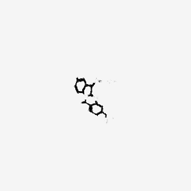 CON=C1c2cc(F)ccc2-n2c1nc1cc(CNC(C)=O)ccc1c2=O